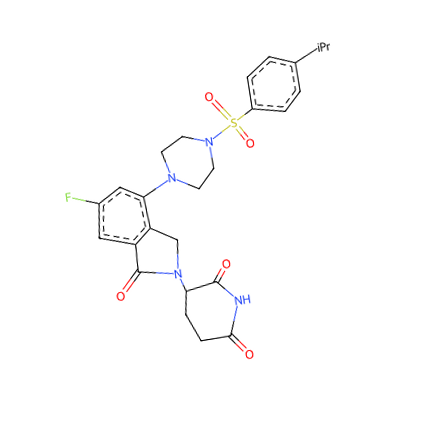 CC(C)c1ccc(S(=O)(=O)N2CCN(c3cc(F)cc4c3CN(C3CCC(=O)NC3=O)C4=O)CC2)cc1